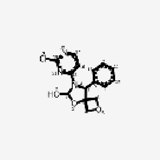 OC1OC2(COC2)C(c2ccccc2)N1c1ccnc(Cl)n1